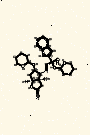 CC(C=C[C@@H]1[C@H]2CC(=O)O[C@H]2C[C@H]1OC1CCCCO1)(OC1CCCCO1)c1cc2ccccc2s1